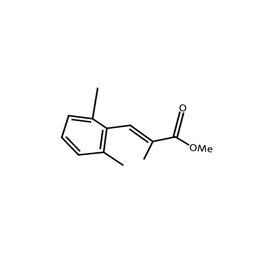 COC(=O)/C(C)=C/c1c(C)cccc1C